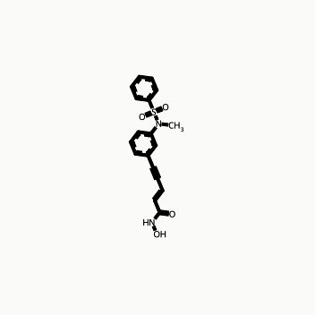 CN(c1cccc(C#CC=CC(=O)NO)c1)S(=O)(=O)c1ccccc1